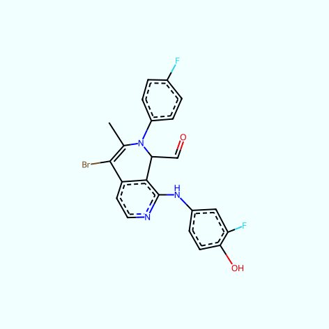 CC1=C(Br)c2ccnc(Nc3ccc(O)c(F)c3)c2C(C=O)N1c1ccc(F)cc1